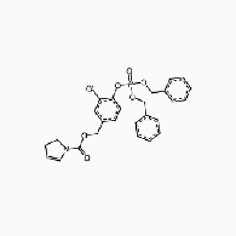 O=C(OCc1ccc(OP(=O)(OCc2ccccc2)OCc2ccccc2)c(Cl)c1)N1C=CCC1